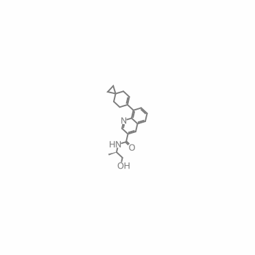 C[C@H](CO)NC(=O)c1cnc2c(C3=CCC4(CC3)CC4)cccc2c1